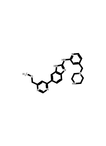 COCc1cc(-c2ccc3nc(Nc4cc(CN5CCNCC5)ccn4)[nH]c3c2)ncn1